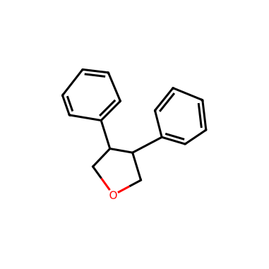 c1ccc(C2COCC2c2ccccc2)cc1